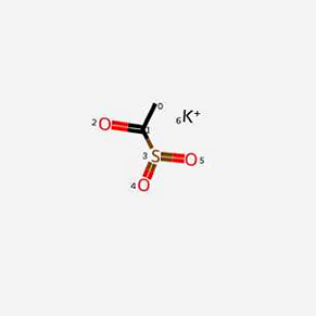 CC(=O)[S-](=O)=O.[K+]